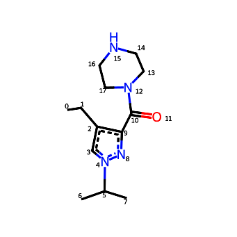 CCc1cn(C(C)C)nc1C(=O)N1CCNCC1